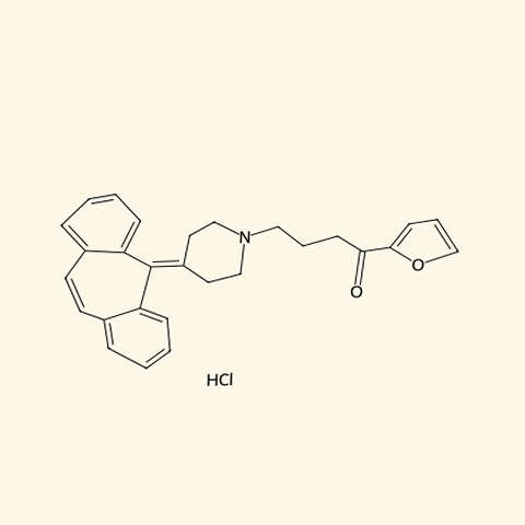 Cl.O=C(CCCN1CCC(=C2c3ccccc3C=Cc3ccccc32)CC1)c1ccco1